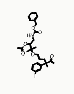 CC(=O)OC(CNC(=O)OCc1ccccc1)C(C)(C)OCCCC(C)(C(C)=O)c1cccc(I)c1